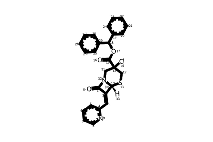 O=C1C(=Cc2ccccn2)[C@H]2SCC(Cl)(C(=O)OC(c3ccccc3)c3ccccc3)CN12